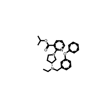 CCN(Cc1cccc(Oc2ccccc2)c1)[C@@H]1CCN(c2ncccc2C(=O)OC(C)C)C1